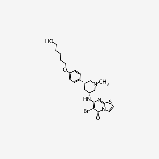 CN1C[C@H](Nc2nc3sccn3c(=O)c2Br)C[C@H](c2ccc(OCCCCCO)cc2)C1